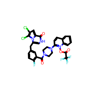 O=C(c1cc(Cc2c[nH]c(=O)c3cc(Cl)c(Cl)n23)ccc1F)N1CCN(c2ccc3ccccc3[n+]2OC(=O)C(F)(F)F)CC1